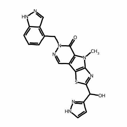 Cn1c2nc(C(O)c3cc[nH]n3)sc2c2cnn(Cc3cccc4[nH]ncc34)c(=O)c21